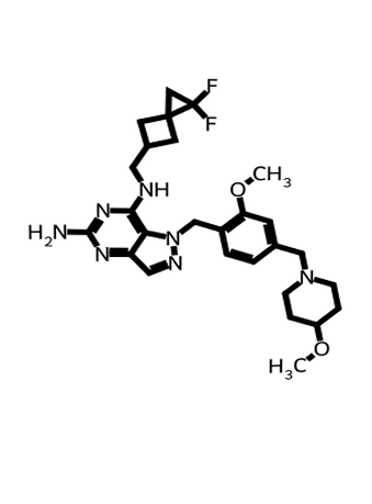 COc1cc(CN2CCC(OC)CC2)ccc1Cn1ncc2nc(N)nc(NCC3CC4(C3)CC4(F)F)c21